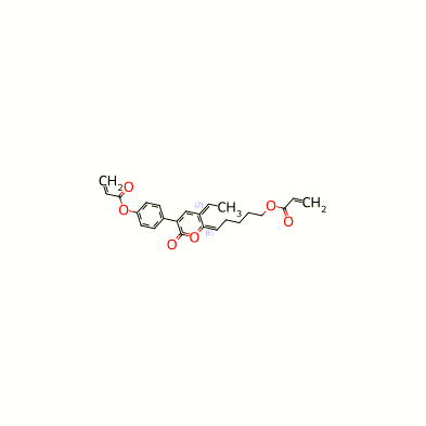 C=CC(=O)OCCCC/C=c1/oc(=O)c(-c2ccc(OC(=O)C=C)cc2)c/c1=C/C